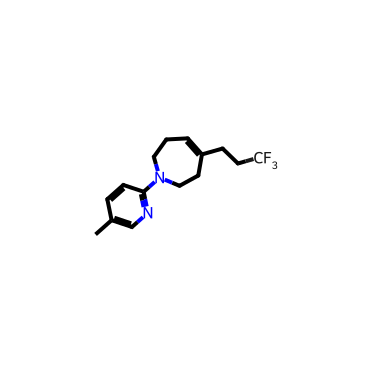 Cc1ccc(N2CCC=C(CCC(F)(F)F)CC2)nc1